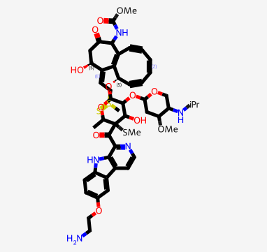 COC(=O)NC1C(=O)C[C@H](O)/C(=C/CS(C)=S)C2=C1C#C/C=C\C#C[C@@H]2OC1OC(C)C(SC)(C(=O)c2nccc3c2[nH]c2ccc(OCCN)cc23)C(O)C1OC1CC(OC)C(NC(C)C)CO1